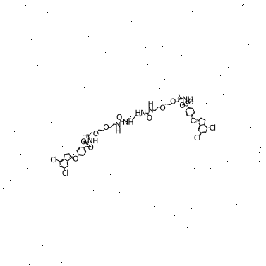 C[C@H](COCCOCCNC(=O)NCCCCNC(=O)NCCOCCOC[C@@H](C)NS(=O)(=O)c1ccc(O[C@@H]2CCc3c(Cl)cc(Cl)cc32)cc1)NS(=O)(=O)c1ccc(O[C@@H]2CCc3c(Cl)cc(Cl)cc32)cc1